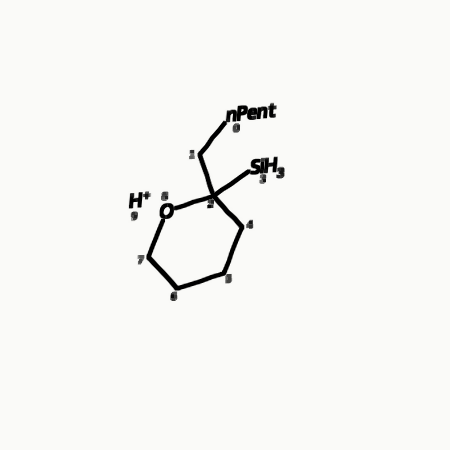 CCCCCCC1([SiH3])CCCCO1.[H+]